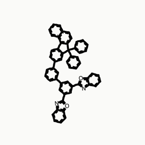 c1ccc(C2(c3ccccc3)c3cc(-c4cccc(-c5cc(-c6nc7ccccc7o6)cc(-c6nc7ccccc7o6)c5)c4)ccc3-c3c2ccc2ccccc32)cc1